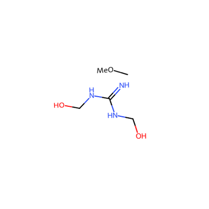 COC.N=C(NCO)NCO